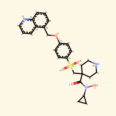 O=C(N(O)C1CC1)C1(CS(=O)(=O)c2ccc(OCc3cccc4ncccc34)cc2)CCNCC1